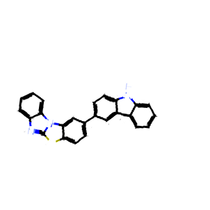 c1ccc2c(c1)nc1sc3ccc(-c4ccc5[nH]c6ccccc6c5c4)cc3n12